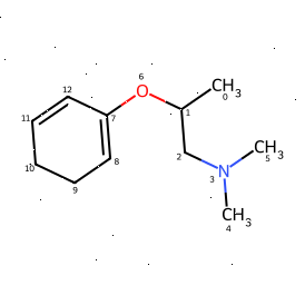 CC(CN(C)C)OC1=CC[CH]C=C1